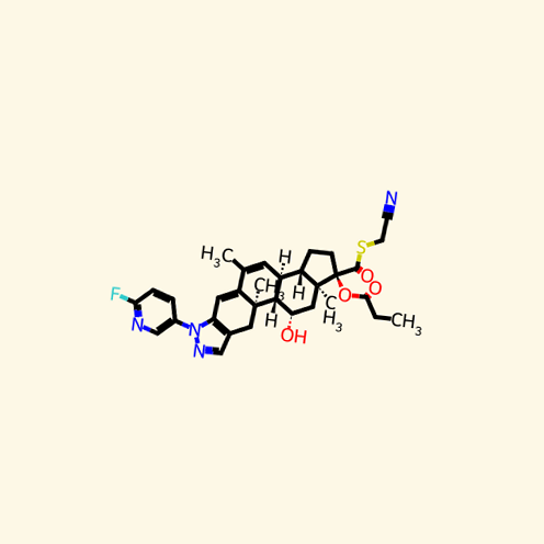 CCC(=O)O[C@]1(C(=O)SCC#N)CC[C@H]2[C@@H]3C=C(C)C4=Cc5c(cnn5-c5ccc(F)nc5)C[C@]4(C)[C@H]3[C@@H](O)C[C@@]21C